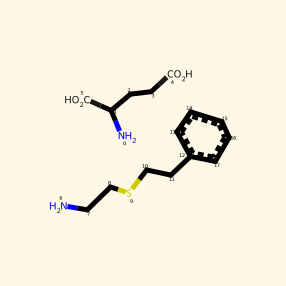 NC(CCC(=O)O)C(=O)O.NCCSCCc1ccccc1